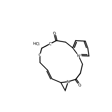 Cl.O=C1CCCC/C=C/C2CN2C(=O)CC[n+]2ccccc2C1